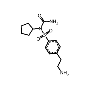 NCCc1ccc(S(=O)(=O)N(C(N)=O)C2CCCC2)cc1